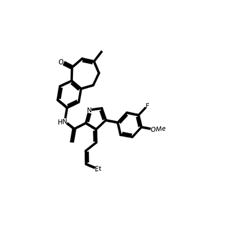 C=C(Nc1ccc2c(c1)CCC(C)=CC2=O)C1=NC=C(c2ccc(OC)c(F)c2)/C1=C/C=C\CC